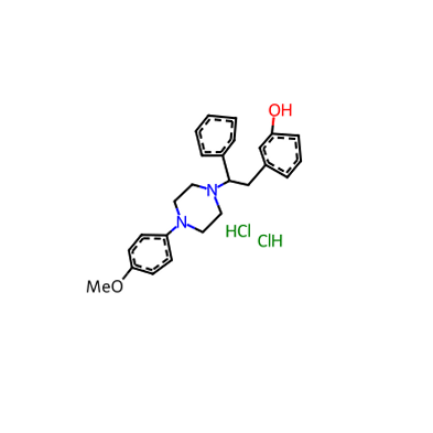 COc1ccc(N2CCN(C(Cc3cccc(O)c3)c3ccccc3)CC2)cc1.Cl.Cl